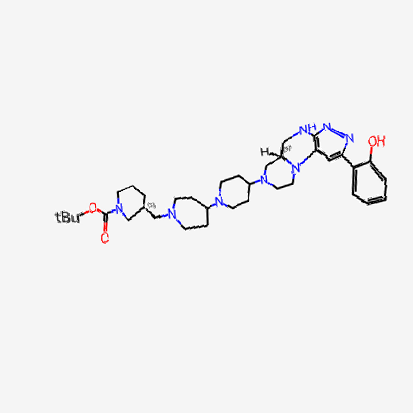 CC(C)(C)OC(=O)N1CCC[C@@H](CN2CCC(N3CCC(N4CCN5c6cc(-c7ccccc7O)nnc6NC[C@H]5C4)CC3)CC2)C1